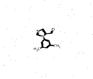 Cc1cc(C)cc(-n2cncc2C=O)c1